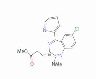 CNC1=Nc2ccc(Cl)cc2C(c2ccccn2)=N[C@H]1CCC(=O)OC